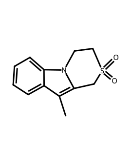 Cc1c2n(c3ccccc13)CCS(=O)(=O)C2